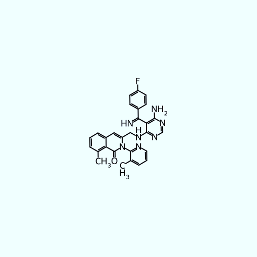 Cc1cccnc1-n1c(CNc2ncnc(N)c2C(=N)c2ccc(F)cc2)cc2cccc(C)c2c1=O